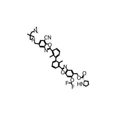 Cc1c(-c2nc3cc(COC(=O)[C@@H]4CCCN4)c(OC(F)F)cc3o2)cccc1-c1cccc(-c2nc3cc(CN4CC(C)(CN(C)C)C4)cc(C#N)c3o2)c1C